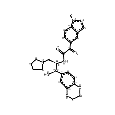 Cn1ncc2cc(C(=O)C(=O)N[C@H](CN3CCCC3)[C@H](O)c3ccc4c(c3)OCCO4)ccc21